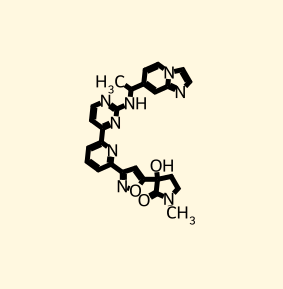 CC(Nc1nccc(-c2cccc(-c3cc(C4(O)CCN(C)C4=O)on3)n2)n1)c1ccn2ccnc2c1